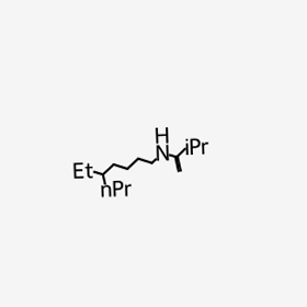 C=C(NCCCCC(CC)CCC)C(C)C